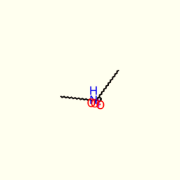 CCCCCCCCCCCCCCCCCCc1ccc(I=O)c(C(=O)NC(=O)CCCCCCCCCCCCCCCCC)c1